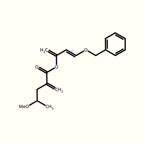 C=C(/C=C/OCc1ccccc1)OC(=O)C(=C)CC(C)OC